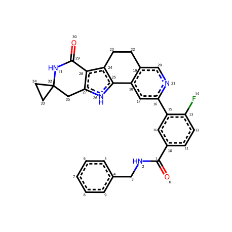 O=C(NCc1ccccc1)c1ccc(F)c(-c2cc3c(cn2)CCc2c-3[nH]c3c2C(=O)NC2(CC2)C3)c1